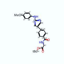 COc1ccc(Nc2ncc(-c3ccc(C(=O)NCC(=O)OC(C)(C)C)cc3)cn2)cc1